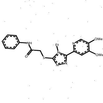 CCn1c(SCC(=O)Nc2ccccc2)nnc1-c1cc(OC)c(OC)cn1